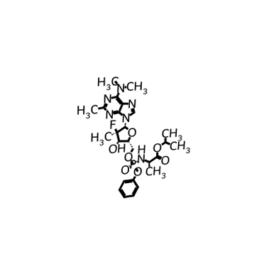 Cc1nc(N(C)C)c2ncn([C@@H]3O[C@H](CO[P@@](=O)(N[C@H](C)C(=O)OC(C)C)Oc4ccccc4)[C@@H](O)[C@@]3(C)F)c2n1